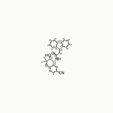 CC1(C)Oc2ccc(C#N)cc2[C@@H](NC(=O)C=C2c3ccccc3-c3ccccc32)[C@@H]1O